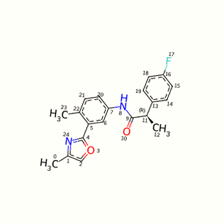 Cc1coc(-c2cc(NC(=O)[C@H](C)c3ccc(F)cc3)ccc2C)n1